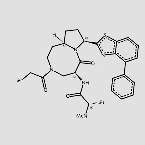 CC[C@H](NC)C(=O)N[C@H]1CN(C(=O)CC(C)C)CC[C@H]2CC[C@@H](c3nc4c(-c5ccccc5)cccc4s3)N2C1=O